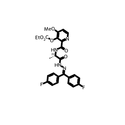 CCOC(=O)Oc1c(OC)ccnc1C(=O)N[C@@H](C)C(=O)NN=C(c1ccc(F)cc1)c1ccc(F)cc1